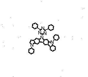 c1ccc(-c2nc(-c3ccccc3)nc(-n3c4cc5ccn(-c6ccccc6)c5cc4c4cc5c6ccccc6n(-c6ccccc6)c5cc43)n2)cc1